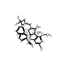 COc1nc(Cl)cc2c1[C@]1(O)[C@H](O)[C@H](CN3CC(F)(F)C3)[C@@H](c3ccccc3)[C@]1(c1ccccc1C#N)O2